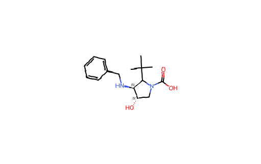 CC(C)(C)C1[C@H](NCc2ccccc2)[C@@H](O)CN1C(=O)O